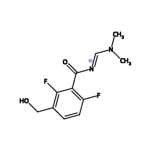 CN(C)/C=N/C(=O)c1c(F)ccc(CO)c1F